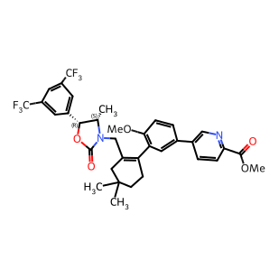 COC(=O)c1ccc(-c2ccc(OC)c(C3=C(CN4C(=O)O[C@H](c5cc(C(F)(F)F)cc(C(F)(F)F)c5)[C@@H]4C)CC(C)(C)CC3)c2)cn1